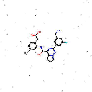 Cc1ccc(CC(=O)O)c(NC(O)c2nc(-c3cc(F)cc(CN)c3)nn3cccc23)c1